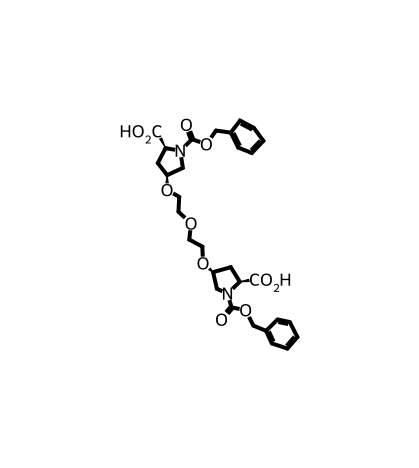 O=C(O)[C@@H]1C[C@H](OCCOCCO[C@H]2C[C@@H](C(=O)O)N(C(=O)OCc3ccccc3)C2)CN1C(=O)OCc1ccccc1